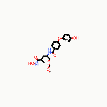 COCOCC(CC(C)C(=O)NO)NC(=O)c1ccc(Oc2ccc(O)cc2)cc1